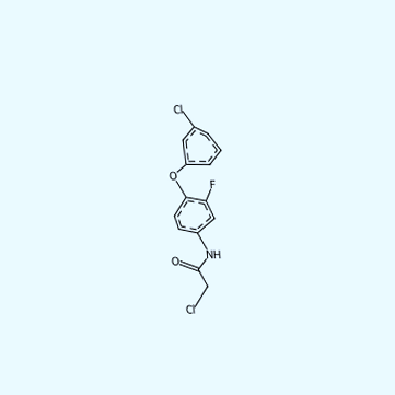 O=C(CCl)Nc1ccc(Oc2cccc(Cl)c2)c(F)c1